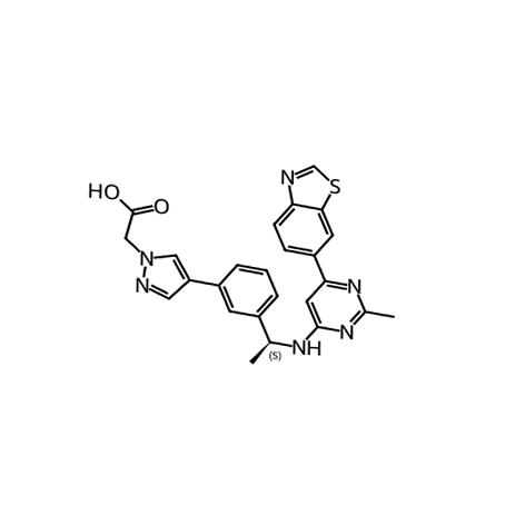 Cc1nc(N[C@@H](C)c2cccc(-c3cnn(CC(=O)O)c3)c2)cc(-c2ccc3ncsc3c2)n1